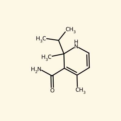 CC1=C(C(N)=O)C(C)(C(C)C)NC=C1